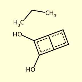 CCC.Oc1c2ccc-2c1O